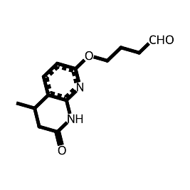 CC1CC(=O)Nc2nc(OCCCC=O)ccc21